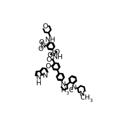 CN1CCCC(N(C)c2ccccc2C2CCCN2c2ccc(-c3ccc(C(=O)NS(=O)(=O)c4ccc(NCC5CCOCC5)c([N+](=O)[O-])c4)c(Oc4cnc5[nH]ccc5c4)c3)cc2)C1